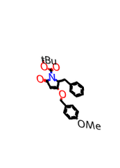 COc1ccc(COC2=CC(=O)N(C(=O)OC(C)(C)C)C2Cc2ccccc2)cc1